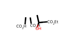 CC(=O)O.CC(=O)O.CCOC(=O)C(C)O